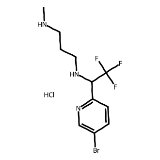 CNCCCNC(c1ccc(Br)cn1)C(F)(F)F.Cl